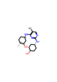 C[C@@H]1CC[C@@H](Nc2nc(N[C@H]3CC[C@H](O)CC3)ncc2C#N)C[C@H]1O